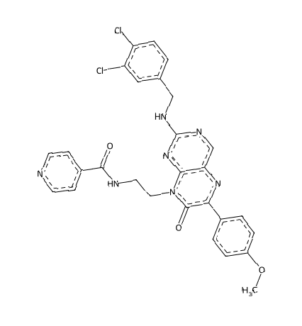 COc1ccc(-c2nc3cnc(NCc4ccc(Cl)c(Cl)c4)nc3n(CCNC(=O)c3ccncc3)c2=O)cc1